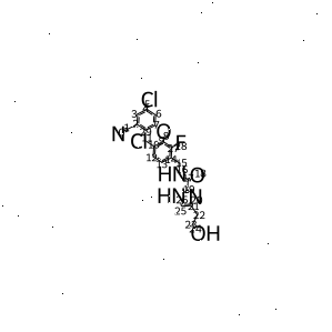 N#Cc1cc(Cl)cc(Oc2c(Cl)ccc(CNC(=O)c3nc(CCO)c[nH]3)c2F)c1